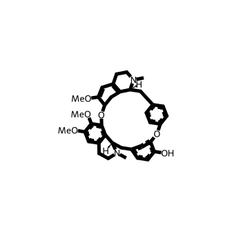 COC1=CC2=C3CC1Oc1c(OC)c(OC)cc4c1[C@@H](Cc1ccc(O)c(c1)Oc1ccc(cc1)C[C@@H]3N(C)CC2)N(C)CC4